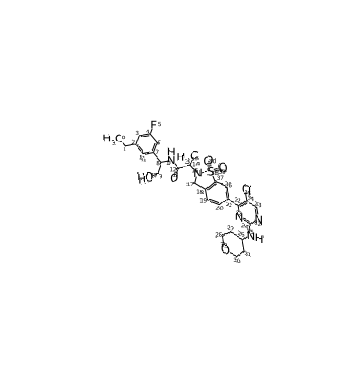 CCc1cc(F)cc(C(CO)NC(=O)C(C)N2Cc3ccc(-c4nc(NC5CCOCC5)ncc4Cl)cc3S2(=O)=O)c1